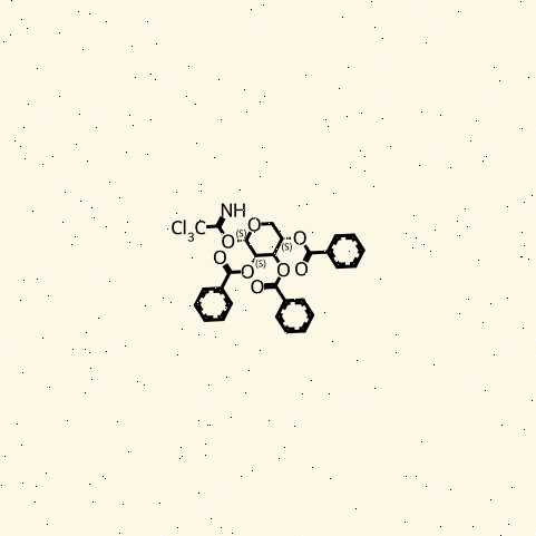 N=C(O[C@@H]1OC[C@H](OC(=O)c2ccccc2)C(OC(=O)c2ccccc2)[C@@H]1OC(=O)c1ccccc1)C(Cl)(Cl)Cl